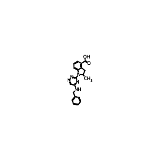 CC1Cc2c(C(=O)O)cccc2N1c1nncc(NCc2ccccc2)n1